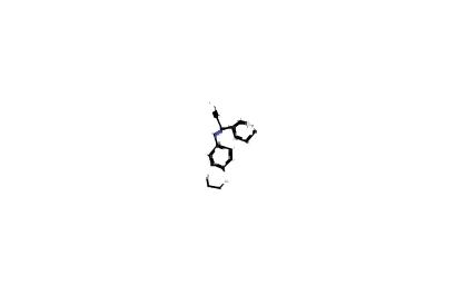 N#C/C(=C/c1ccc2c(c1)OCCO2)c1cccnc1